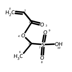 C=CC(=O)OC(C)S(=O)(=O)O